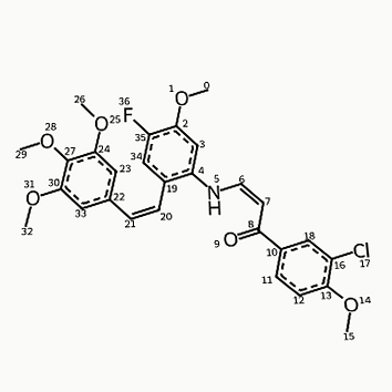 COc1cc(N/C=C\C(=O)c2ccc(OC)c(Cl)c2)c(/C=C\c2cc(OC)c(OC)c(OC)c2)cc1F